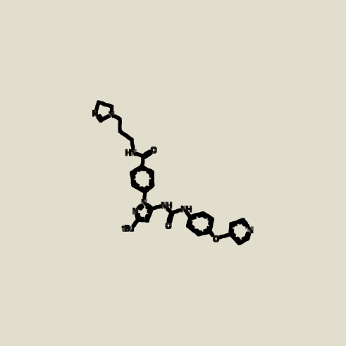 CC(C)(C)c1cc(NC(=O)Nc2ccc(Oc3ccncc3)cc2)n(-c2ccc(C(=O)NCCCN3C=NCC3)cc2)n1